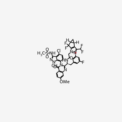 COc1ccc2c(=O)n(-c3ccc(Cl)c4c(NS(C)(=O)=O)nn(C)c34)c([C@H](Cc3cc(F)cc(F)c3)NC(=O)Cn3nc(C(F)F)c4c3C(F)(F)[C@@H]3C[C@H]43)nc2c1